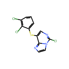 Clc1cccc(Sc2cnc(Cl)n3ccnc23)c1Cl